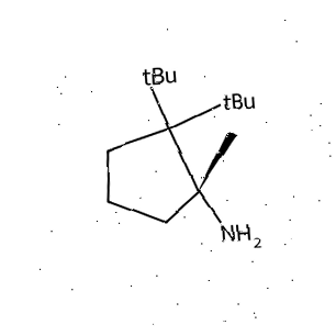 CC(C)(C)C1(C(C)(C)C)CCC[C@@]1(C)N